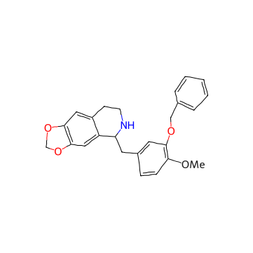 COc1ccc(CC2NCCc3cc4c(cc32)OCO4)cc1OCc1ccccc1